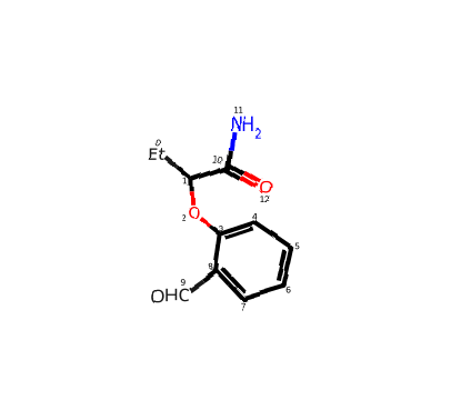 CCC(Oc1ccccc1C=O)C(N)=O